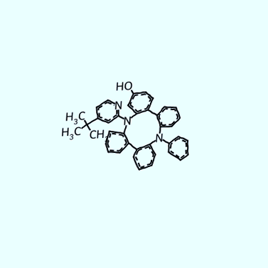 CC(C)(C)c1ccnc(N2c3ccccc3-c3ccccc3N(c3ccccc3)c3ccccc3-c3ccc(O)cc32)c1